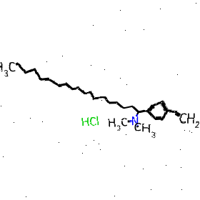 C=Cc1ccc(C(CCCCCCCCCCCCCCCCCC)N(C)C)cc1.Cl